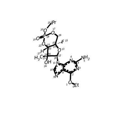 CCOc1nc(N)nc2c1ncn2[C@@H]1O[C@]2(F)COP(=O)(OC(C)C)O[C@H]2[C@@]1(C)O